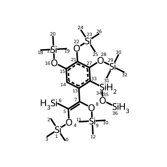 C[Si](C)(C)OC([SiH3])=C(O[Si](C)(C)C)c1cc(O[Si](C)(C)C)c(O[Si](C)(C)C)c(O[Si](C)(C)C)c1[SiH2]O[SiH3]